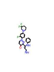 N=C/C=C(\Nc1ccccc1)c1nn(-c2ccc(N3CCCC(F)(F)C3)cc2F)ccc1=O